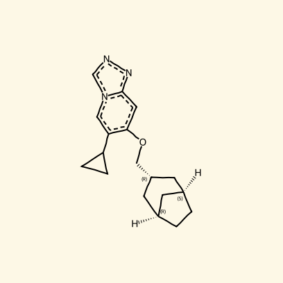 c1c(OC[C@H]2C[C@@H]3CC[C@@H](C3)C2)c(C2CC2)cn2cnnc12